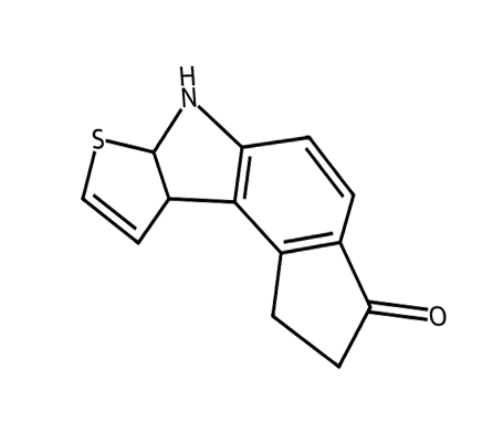 O=C1CCc2c1ccc1c2C2C=CSC2N1